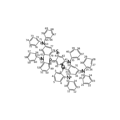 O=P12c3ccccc3N(c3ccccc3)c3cc(N(c4ccccc4)c4ccccc4)cc(c31)N(c1ccccc1)c1cc3c(cc12)P1c2ccccc2N(c2ccccc2)c2cc(N(c4ccccc4)c4ccccc4)cc(c21)S3